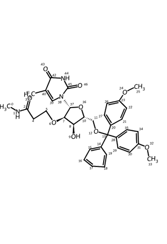 CNC(=O)CCO[C@@H]1[C@H](O)[C@@H](COC(c2ccccc2)(c2ccc(OC)cc2)c2ccc(OC)cc2)O[C@H]1n1cc(C)c(=O)[nH]c1=O